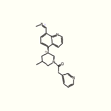 C/N=C\c1ccc([C@@H]2CC(C)CN(C(=O)Cc3cccnc3)C2)c2cccnc12